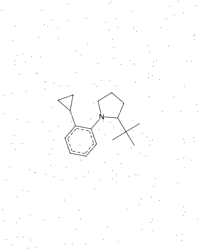 CC(C)(C)C1CCCN1c1ccccc1C1CC1